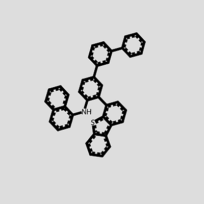 c1ccc(-c2cccc(-c3ccc(Nc4cccc5ccccc45)c(-c4cccc5c4sc4ccccc45)c3)c2)cc1